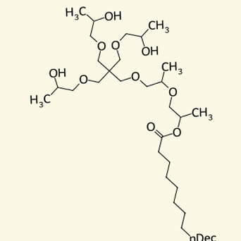 CCCCCCCCCCCCCCCCCC(=O)OC(C)COC(C)COCC(COCC(C)O)(COCC(C)O)COCC(C)O